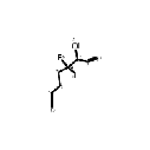 [CH]=CC(O)C(F)(F)CCCC